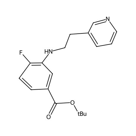 CC(C)(C)OC(=O)c1ccc(F)c(NCCc2cccnc2)c1